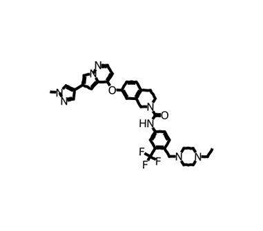 CCN1CCN(Cc2ccc(NC(=O)N3CCc4ccc(Oc5ccnn6cc(-c7cnn(C)c7)cc56)cc4C3)cc2C(F)(F)F)CC1